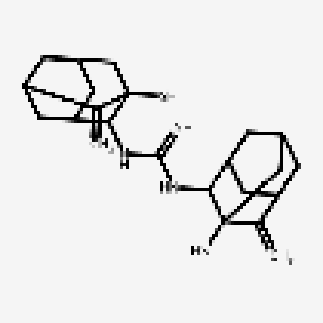 C=C1C2CC3CC(C2)C(NC(=N)NC2C4CC5CC(C4)C(=C)C2(S)C5)C1(S)C3